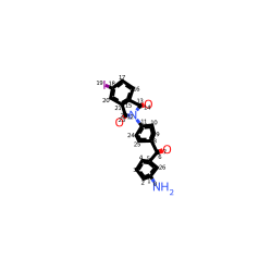 Nc1cccc(C(=O)c2ccc(N3C(=O)c4ccc(I)cc4C3=O)cc2)c1